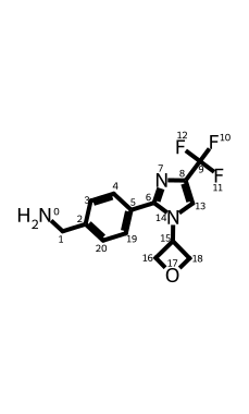 NCc1ccc(-c2nc(C(F)(F)F)cn2C2COC2)cc1